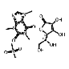 CS(C)(=O)=O.Cn1c(=O)c2c(ncn2C)n(C)c1=O.O=C1O[C@H]([C@@H](O)CO)C(O)=C1O